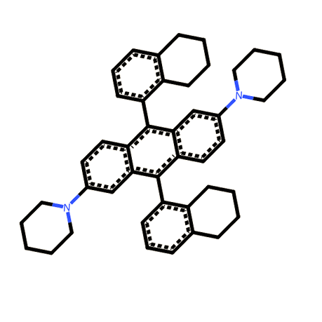 c1cc2c(c(-c3c4ccc(N5CCCCC5)cc4c(-c4cccc5c4CCCC5)c4ccc(N5CCCCC5)cc34)c1)CCCC2